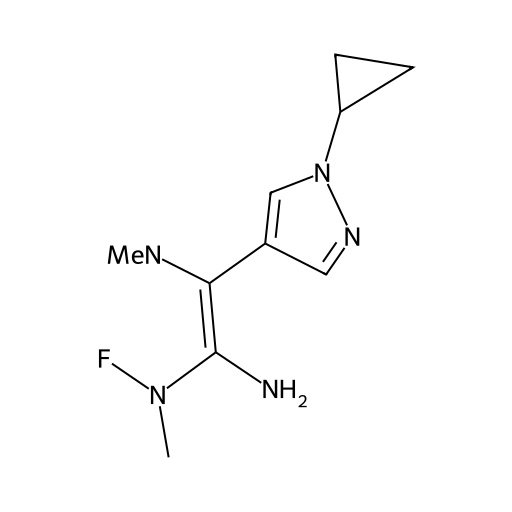 CN/C(=C(/N)N(C)F)c1cnn(C2CC2)c1